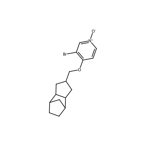 [O-][n+]1ccc(OCC2CC3C4CCC(C4)C3C2)c(Br)c1